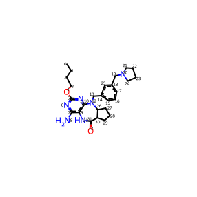 CCCCOc1nc(N)c2c(n1)N(Cc1cccc(CN3CCCC3)c1)C1CCCC1C(=O)N2